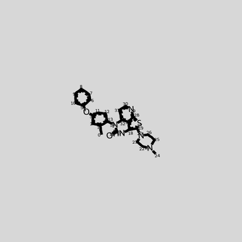 Cc1cc(Oc2ccccc2)ccc1N1C(=O)Nc2c(N3CCN(C)CC3)sc3nccc1c23